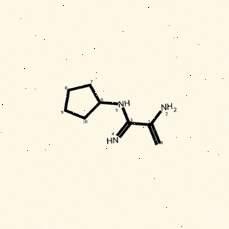 C=C(N)C(=N)NC1CCCC1